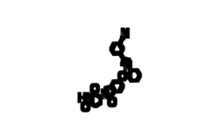 N#Cc1cccc(C2CN(C3CCCC[C@H]3Oc3ccc4c(c3)CN(C3CCC(=O)NC3=O)C4=O)C2)c1